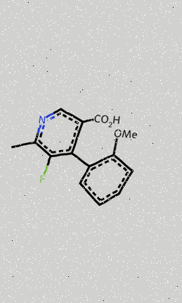 COc1ccccc1-c1c(C(=O)O)cnc(C)c1F